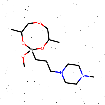 CO[Si]1(CCCN2CCN(C)CC2)OC(C)COCC(C)O1